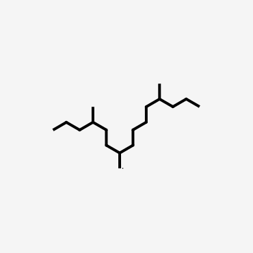 [CH2]C(CCCCC(C)CCC)CCC(C)CCC